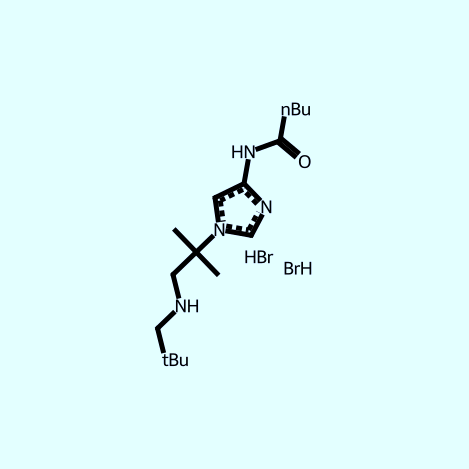 Br.Br.CCCCC(=O)Nc1cn(C(C)(C)CNCC(C)(C)C)cn1